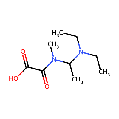 CCN(CC)C(C)N(C)C(=O)C(=O)O